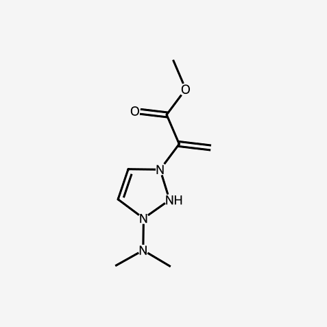 C=C(C(=O)OC)N1C=CN(N(C)C)N1